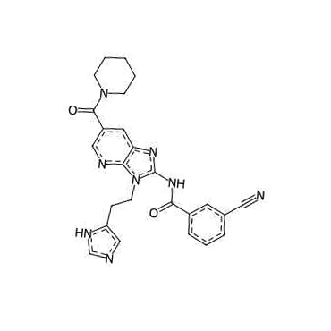 N#Cc1cccc(C(=O)Nc2nc3cc(C(=O)N4CCCCC4)cnc3n2CCc2cnc[nH]2)c1